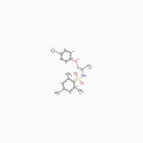 Cc1cc(C)c(S(=O)(=O)NC(COc2ccc(C(F)(F)F)cc2)C(F)(F)F)c(C)c1